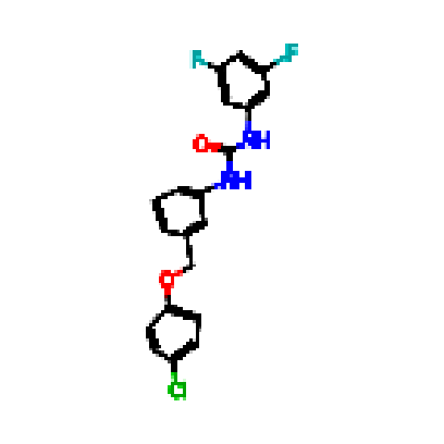 O=C(Nc1cc(F)cc(F)c1)Nc1cccc(COc2ccc(Cl)cc2)c1